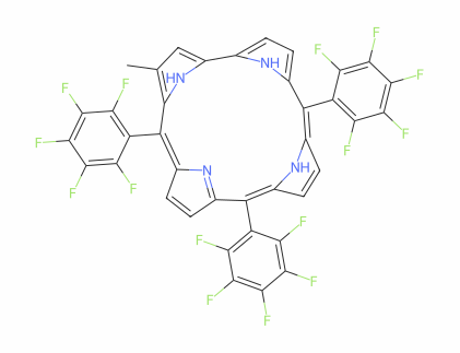 Cc1cc2[nH]c1c(-c1c(F)c(F)c(F)c(F)c1F)c1nc(c(-c3c(F)c(F)c(F)c(F)c3F)c3ccc([nH]3)c(-c3c(F)c(F)c(F)c(F)c3F)c3ccc2[nH]3)C=C1